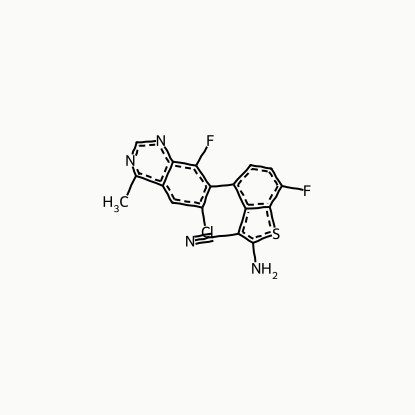 Cc1ncnc2c(F)c(-c3ccc(F)c4sc(N)c(C#N)c34)c(Cl)cc12